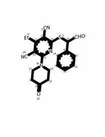 CCc1c(C#N)c(SC([C]=O)c2ccccc2)nc(N2CCC(=O)CC2)c1C#N